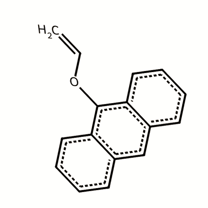 C=COc1c2ccccc2cc2ccccc12